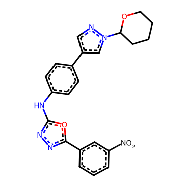 O=[N+]([O-])c1cccc(-c2nnc(Nc3ccc(-c4cnn(C5CCCCO5)c4)cc3)o2)c1